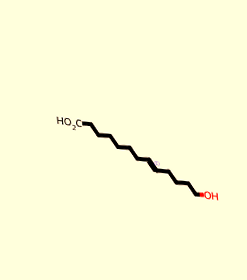 O=C(O)CCCCCC/C=C/CCCCO